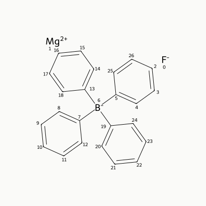 [F-].[Mg+2].c1ccc([B-](c2ccccc2)(c2ccccc2)c2ccccc2)cc1